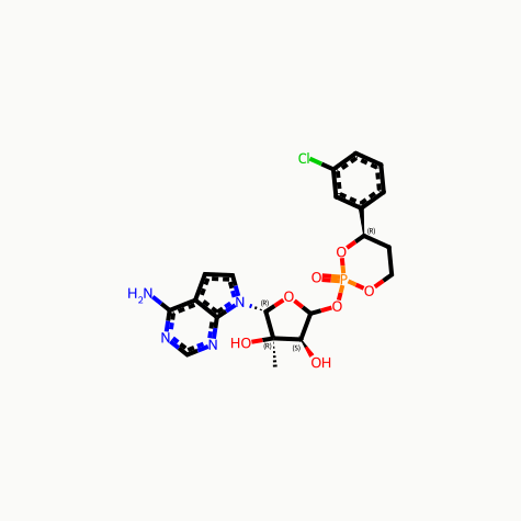 C[C@@]1(O)[C@H](O)C(OP2(=O)OCC[C@H](c3cccc(Cl)c3)O2)O[C@H]1n1ccc2c(N)ncnc21